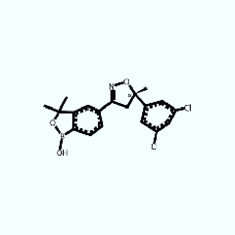 CC1(C)OB(O)c2ccc(C3=NO[C@](C)(c4cc(Cl)cc(Cl)c4)C3)cc21